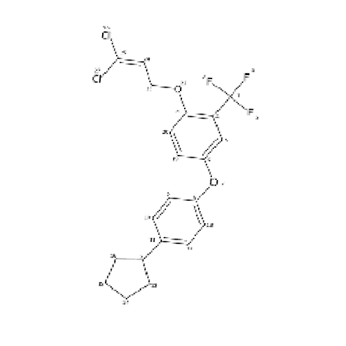 FC(F)(F)c1cc(Oc2ccc(C3CCCC3)cc2)ccc1OCC=C(Cl)Cl